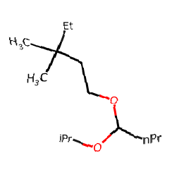 CCCC(OCCC(C)(C)CC)OC(C)C